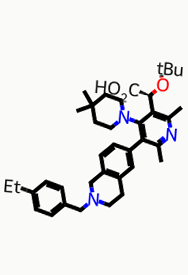 CCc1ccc(CN2CCc3cc(-c4c(C)nc(C)c([C@H](OC(C)(C)C)C(=O)O)c4N4CCC(C)(C)CC4)ccc3C2)cc1